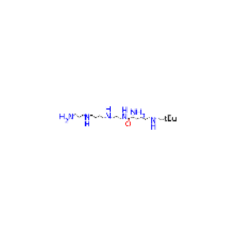 CC(C)(C)CCNCCCC[C@@H](N)C(=O)NCCCNCCCCNCCCN